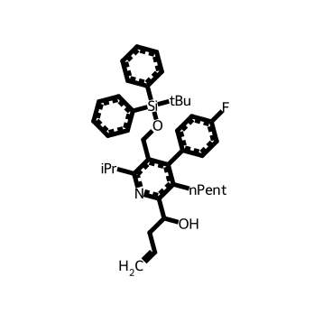 C=CCC(O)c1nc(C(C)C)c(CO[Si](c2ccccc2)(c2ccccc2)C(C)(C)C)c(-c2ccc(F)cc2)c1CCCCC